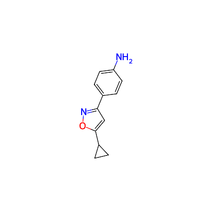 Nc1ccc(-c2cc(C3CC3)on2)cc1